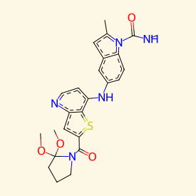 CNC(=O)n1c(C)cc2cc(Nc3ccnc4cc(C(=O)N5CCCC5(OC)OC)sc34)ccc21